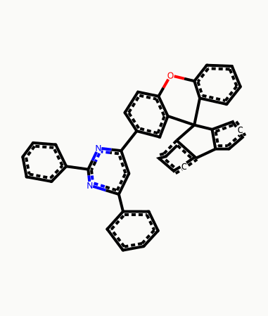 c1ccc(-c2cc(-c3ccc4c(c3)C3(c5ccccc5O4)c4ccccc4-c4ccccc43)nc(-c3ccccc3)n2)cc1